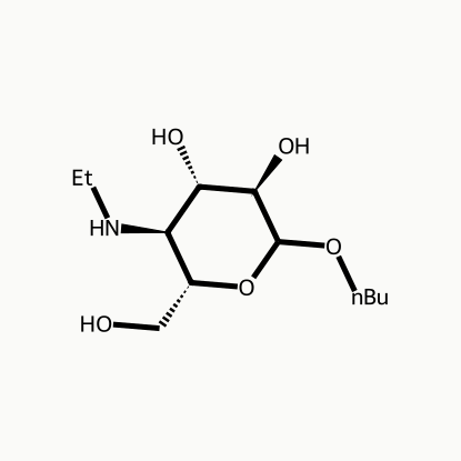 CCCCOC1O[C@H](CO)[C@@H](NCC)[C@H](O)[C@H]1O